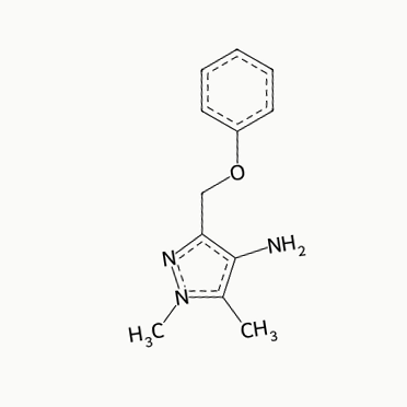 Cc1c(N)c(COc2ccccc2)nn1C